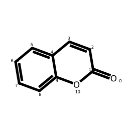 O=c1ccc2c[c]ccc2o1